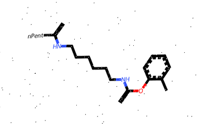 C=C(CCCCC)NCCCCCCNC(=C)Oc1ccccc1C